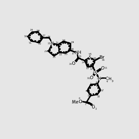 COC(=O)c1ccc(N(C)S(=O)(=O)c2cc(C(=O)Nc3ccc4c(ccn4Cc4ccccc4)c3)sc2Br)cc1